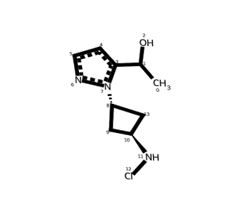 CC(O)c1ccnn1[C@H]1C[C@H](NCl)C1